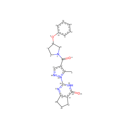 Cc1c(C(=O)N2CCC(Oc3ccccc3)C2)cnn1-c1nc2c(c(=O)[nH]1)CCC2